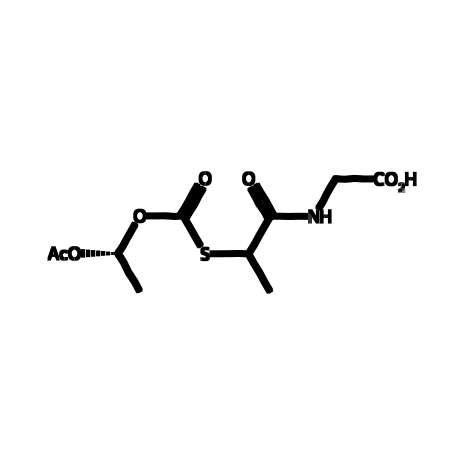 CC(=O)O[C@@H](C)OC(=O)SC(C)C(=O)NCC(=O)O